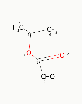 O=CC(=O)OC(C(F)(F)F)C(F)(F)F